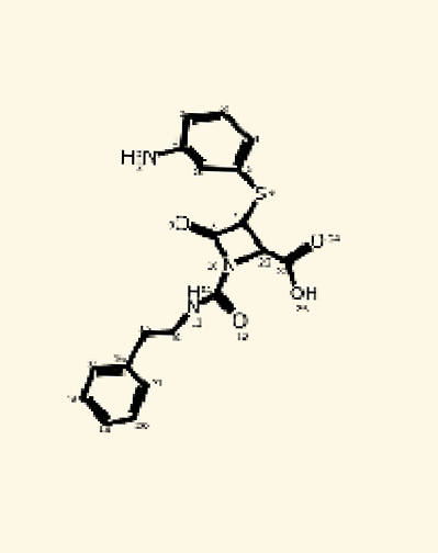 Nc1cccc(SC2C(=O)N(C(=O)NCCc3ccccc3)C2C(=O)O)c1